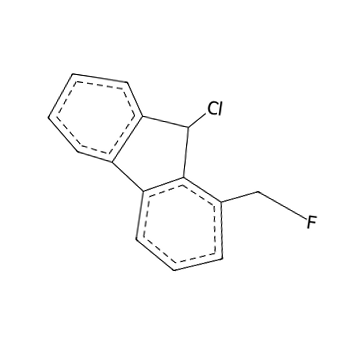 FCc1cccc2c1C(Cl)c1ccccc1-2